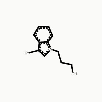 CC(C)c1cn(CCCO)c2ccccc12